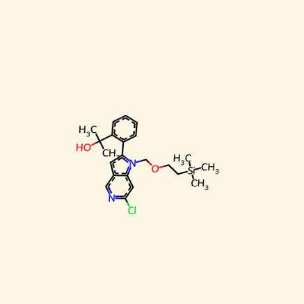 CC(C)(O)c1ccccc1-c1cc2cnc(Cl)cc2n1COCC[Si](C)(C)C